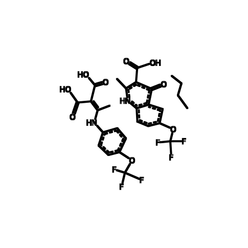 CC(Nc1ccc(OC(F)(F)F)cc1)=C(C(=O)O)C(=O)O.CCCC.Cc1[nH]c2ccc(OC(F)(F)F)cc2c(=O)c1C(=O)O